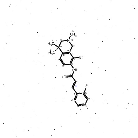 CCc1c(NC(=O)/C=C/c2ccccc2Cl)ccc2c1CN(C)CC2(C)C